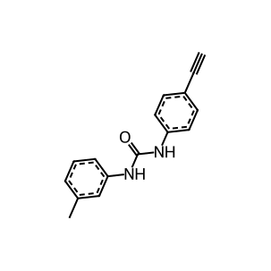 C#Cc1ccc(NC(=O)Nc2cccc(C)c2)cc1